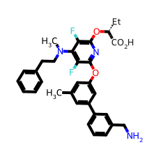 CC[C@@H](Oc1nc(Oc2cc(C)cc(-c3cccc(CN)c3)c2)c(F)c(N(C)CCc2ccccc2)c1F)C(=O)O